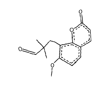 COc1ccc2ccc(=O)oc2c1CC(C)(C)C=O